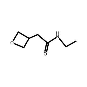 CCNC(=O)CC1COC1